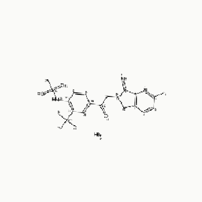 Br.Cc1ccc2c(n1)C(=N)N(CC(=O)c1ccc(NS(C)(=O)=O)c(C(C)(C)C)c1)C2